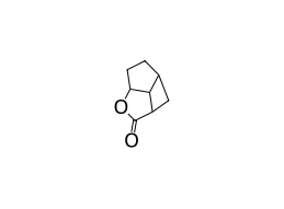 O=C1OC2CCC3CC1C32